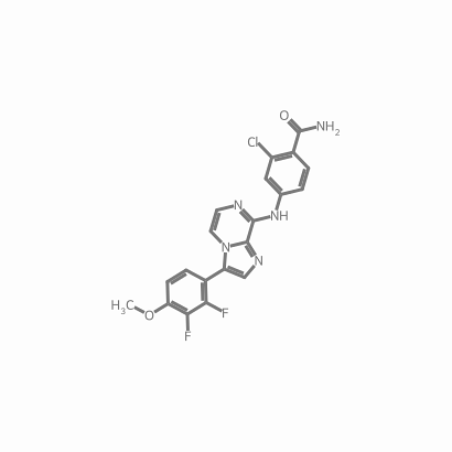 COc1ccc(-c2cnc3c(Nc4ccc(C(N)=O)c(Cl)c4)nccn23)c(F)c1F